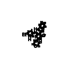 CC[C@@H]1CC[C@@H](Nc2nc(N3CCOCC3)[nH]c(=O)c2-c2nc3ccccc3s2)CN1